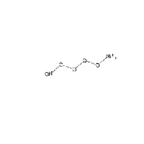 NOOOON=O